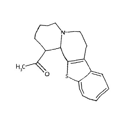 CC(=O)C1CCCN2CCc3c(sc4ccccc34)C12